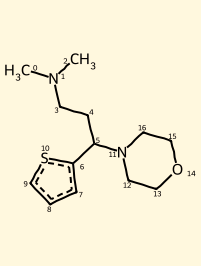 CN(C)CCC(c1cccs1)N1CCOCC1